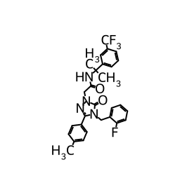 Cc1ccc(-c2nn(CC(=O)NC(C)(C)c3cccc(C(F)(F)F)c3)c(=O)n2Cc2ccccc2F)cc1